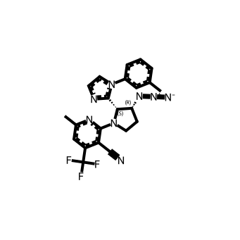 Cc1cccc(-n2ccnc2[C@@H]2[C@H](N=[N+]=[N-])CCN2c2nc(C)cc(C(F)(F)F)c2C#N)c1